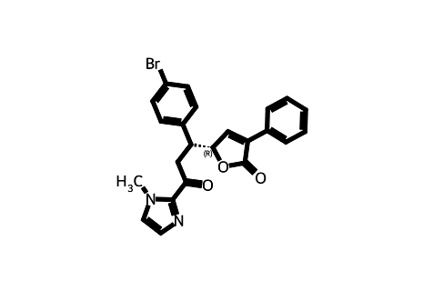 Cn1ccnc1C(=O)CC(c1ccc(Br)cc1)[C@@H]1C=C(c2ccccc2)C(=O)O1